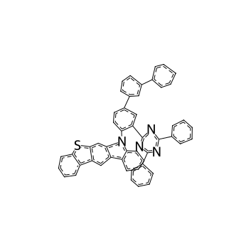 c1ccc(-c2cccc(-c3ccc(-n4c5ccccc5c5cc6c(cc54)sc4ccccc46)c(-c4nc(-c5ccccc5)nc(-c5ccccc5)n4)c3)c2)cc1